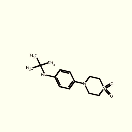 CC(C)(C)Nc1ccc(N2CCS(=O)(=O)CC2)cc1